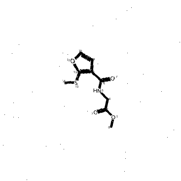 COC(=O)CNC(=O)c1ccoc1SC